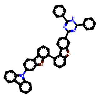 c1ccc(C2=NC(c3ccc4c(c3)sc3cccc(-c5cccc6c5sc5cc(-n7c8ccccc8c8ccccc87)ccc56)c34)=NC(c3ccccc3)N2)cc1